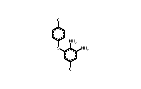 Nc1cc(Cl)cc(Sc2ccc(Cl)cc2)c1N